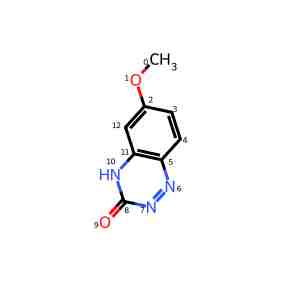 COc1ccc2nnc(=O)[nH]c2c1